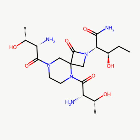 CC[C@@H](O)[C@@H](C(N)=O)N1CC2(CN(C(=O)[C@@H](N)[C@@H](C)O)CCN2C(=O)[C@@H](N)[C@@H](C)O)C1=O